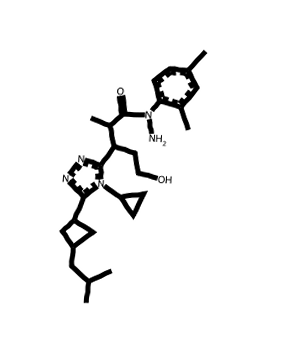 Cc1ccc(N(N)C(=O)C(C)C(CCO)c2nnc(C3CC(CC(C)C)C3)n2C2CC2)c(C)c1